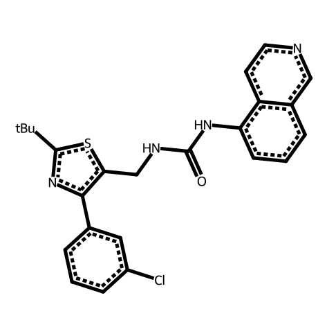 CC(C)(C)c1nc(-c2cccc(Cl)c2)c(CNC(=O)Nc2cccc3cnccc23)s1